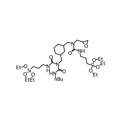 CCCCNC(=O)N(CC1CCCC(CN(CC2CO2)C(=O)NCCC[Si](OCC)(OCC)OCC)C1)C(=O)NCCC[Si](OCC)(OCC)OCC